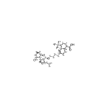 O=C(O)c1ccc(C(F)(F)F)c2nc(CCCCOCc3c(-c4c(Cl)cncc4Cl)noc3C3CC3)ccc12